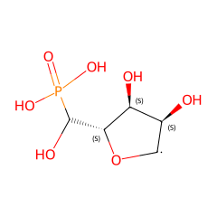 O=P(O)(O)C(O)[C@H]1O[CH][C@H](O)[C@@H]1O